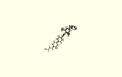 CCCCC1CCC(C2CCC(C#Cc3c(F)cc(N=C=S)cc3F)CC2)CC1